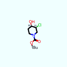 CC(C)(C)OC(=O)N1CC[C@@H](O)[C@@H](Cl)C1